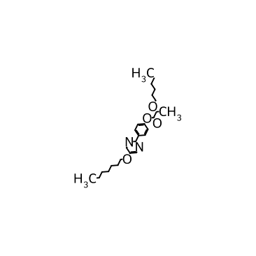 CCCCCCCOc1cnc(-c2ccc(OC(=O)C(C)OCCCCCC)cc2)nc1